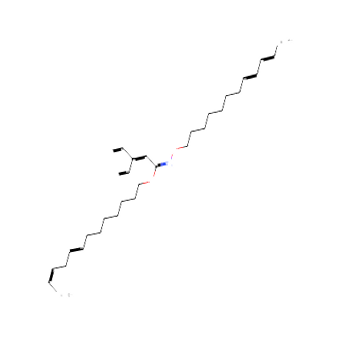 C=CC(C=C)=C/C(=N\OCCCCCCC/C=C/C=C/CCCCC)OCCCCCCC/C=C/C/C=C\CCCCC